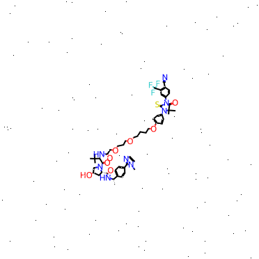 C[C@H](NC(=O)[C@@H]1C[C@@H](O)CN1C(=O)[C@@H](NC(=O)COCCCOCCCCCOc1ccc(N2C(=S)N(c3ccc(C#N)c(C(F)(F)F)c3)C(=O)C2(C)C)cc1)C(C)(C)C)c1ccc(-c2nccn2C)cc1